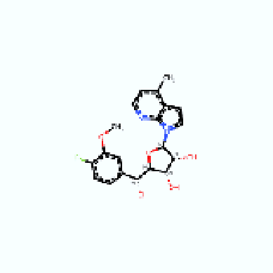 COc1cc([C@@H](O)[C@H]2O[C@@H](n3ccc4c(C)ccnc43)[C@H](O)[C@@H]2O)ccc1F